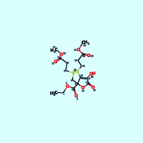 CCOC(=O)C1(CSCCC(=O)OC)OC(=O)C(O)=C1SCCC(=O)OC